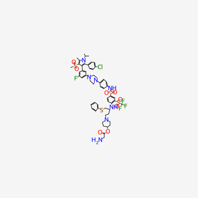 Cc1c(S(C)(=O)=O)c(-c2cc(F)cc(N3CCN(c4ccc(NS(=O)(=O)c5ccc(NC(CCN6CCC(OC(=O)CN)CC6)CSc6ccccc6)c(S(=O)(=O)C(F)(F)F)c5)cc4)CC3)c2)c(-c2ccc(Cl)cc2)n1C(C)C